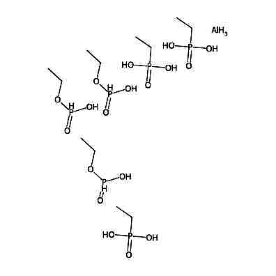 CCO[PH](=O)O.CCO[PH](=O)O.CCO[PH](=O)O.CCP(=O)(O)O.CCP(=O)(O)O.CCP(=O)(O)O.[AlH3]